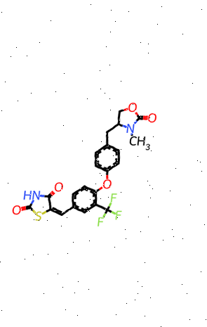 CN1C(=O)OCC1Cc1ccc(Oc2ccc(C=C3SC(=O)NC3=O)cc2C(F)(F)F)cc1